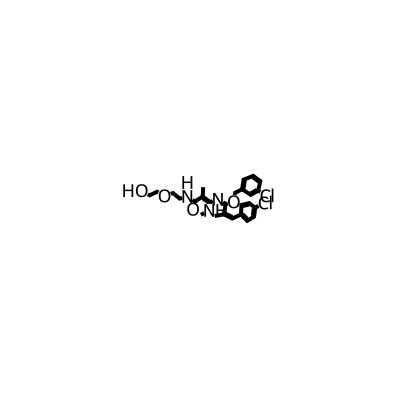 CNC(/N=C(OCc1cccc(Cl)c1)\C(C)=C/c1ccc(Cl)cc1)=C(/C)C(=O)NCCOCCO